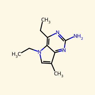 CCc1nc(N)nc2c(C)cn(CC)c12